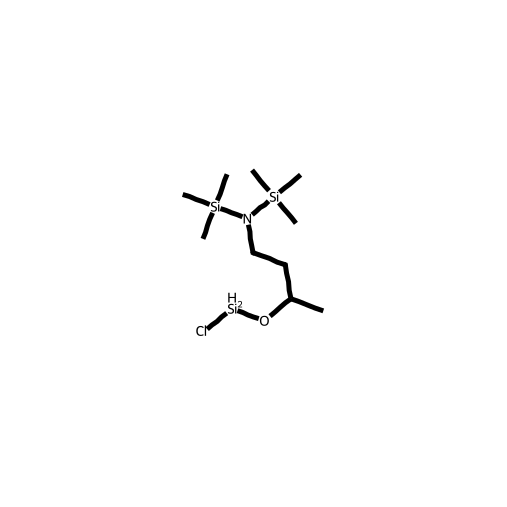 CC(CCN([Si](C)(C)C)[Si](C)(C)C)O[SiH2]Cl